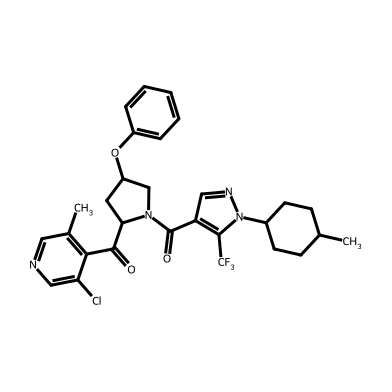 Cc1cncc(Cl)c1C(=O)C1CC(Oc2ccccc2)CN1C(=O)c1cnn(C2CCC(C)CC2)c1C(F)(F)F